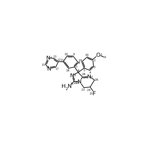 COc1ccc(C2(c3cccc(-c4cncnc4)c3)N=C(N)N3CC(F)CN=C32)cc1